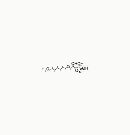 CCCCCCCCOC[C@@H](O)[C@H]1OC[C@H](O)[C@H]1O